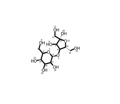 OCC1O[C@@H](OC2C(O)[C@@](O)(CO)O[C@@H]2CO)C(O)C(O)[C@H]1O